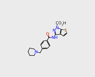 O=C(Nc1nn(C(=O)O)c2sccc12)c1ccc(CN2CCCCC2)cc1